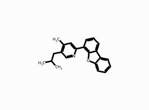 Cc1cc(-c2cccc3c2oc2ccccc23)ncc1CC(C)C